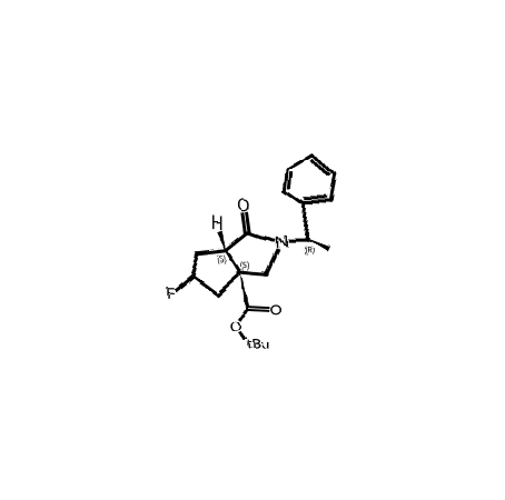 C[C@H](c1ccccc1)N1C[C@]2(C(=O)OC(C)(C)C)CC(F)C[C@@H]2C1=O